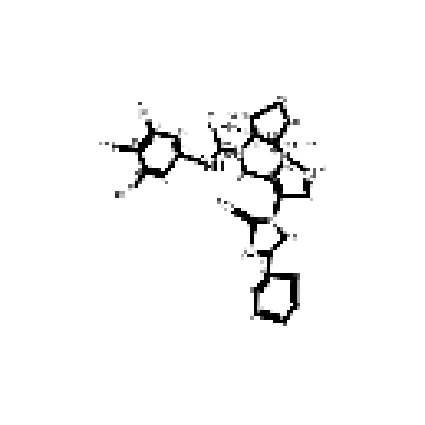 O=C1OC(c2ccccc2)CN1c1cnn2c1CN(C(O)Nc1cc(F)c(F)c(F)c1)[C@H]1CCC[C@H]12